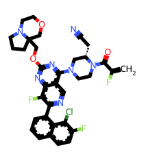 C=C(F)C(=O)N1CCN(c2nc(OCC34CCCN3CCOC4)nc3c(F)c(-c4cccc5ccc(F)c(Cl)c45)ncc23)C[C@@H]1CC#N